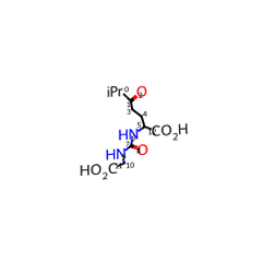 CC(C)C(=O)CCC(NC(=O)NCC(=O)O)C(=O)O